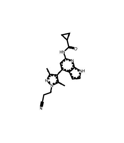 Cc1nn(CCC#N)c(C)c1-c1cc(NC(=O)C2CC2)nc2[nH]ccc12